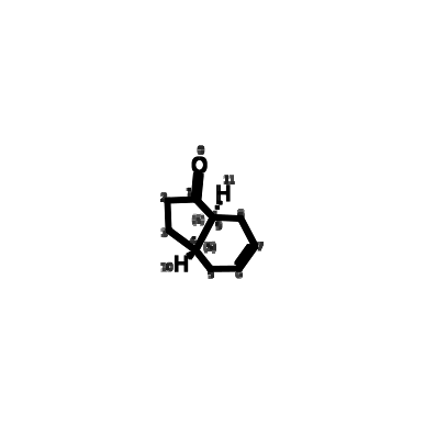 O=C1CC[C@H]2CC=CC[C@H]12